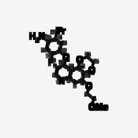 COCCOc1cc2nccc(Oc3cc(C(C)C)c(N)cc3F)c2c2c1OCCO2